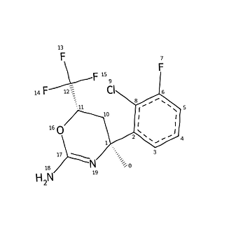 C[C@@]1(c2cccc(F)c2Cl)C[C@@H](C(F)(F)F)OC(N)=N1